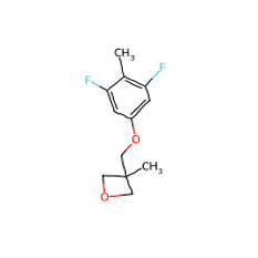 Cc1c(F)cc(OCC2(C)COC2)cc1F